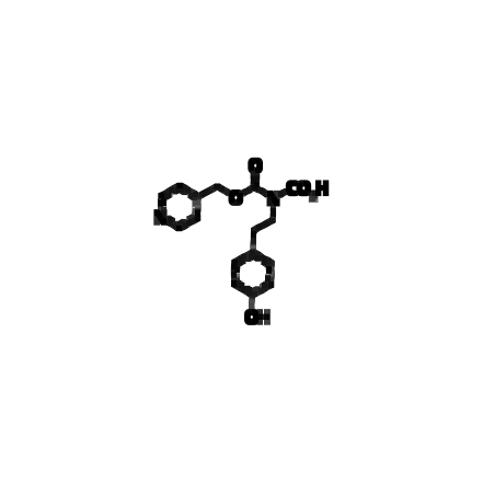 O=C(O)N(CCc1ccc(O)cc1)C(=O)OCc1ccncc1